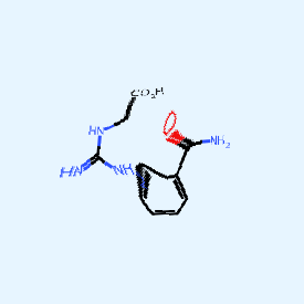 N=C(N)NCC(=O)O.NC(=O)c1ccccc1